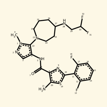 Cn1ncc(NC(=O)c2nc(-c3c(F)cccc3F)sc2N)c1N1CCCC(NCC(F)F)CC1